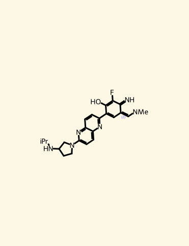 CN/C=C1/C=C(c2ccc3nc(N4CCC(NC(C)C)C4)ccc3n2)C(O)=C(F)C1=N